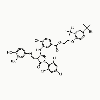 CCC(C)(C)c1ccc(OCCOC(=O)c2ccc(Cl)c(NC3=NN(c4c(Cl)cc(Cl)cc4Cl)C(=O)C3N=Nc3ccc(O)c(C(C)(C)C)c3)c2)c(C(C)(C)CC)c1